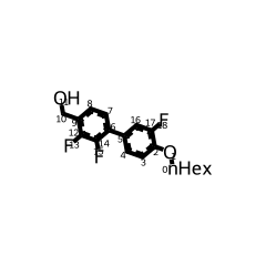 CCCCCCOc1ccc(-c2ccc(CO)c(F)c2F)cc1F